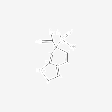 O=C(O)C1(P(=O)(O)O)C=CC2=CCNC2=C1